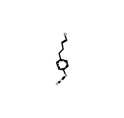 CCC=CCCc1ccc(N=C=O)cc1